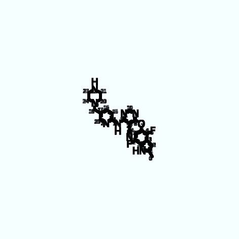 Cc1cc2c(F)c(Oc3ncnc(Nc4ccc(CN5CCNCC5)cn4)c3C#N)cc(F)c2[nH]1